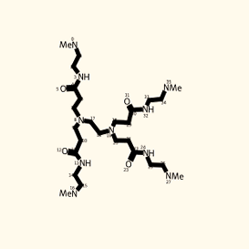 CNCCNC(=O)CCN(CCC(=O)NCCNC)CCN(CCC(=O)NCCNC)CCC(=O)NCCNC